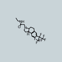 CCNC(=O)CN1CC[C@H]2c3ccc(C(F)(C(F)(F)F)C(F)(F)F)cc3CCC21